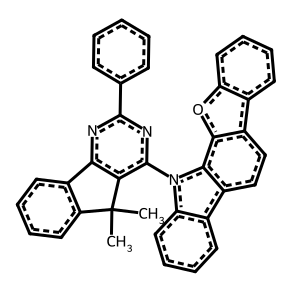 CC1(C)c2ccccc2-c2nc(-c3ccccc3)nc(-n3c4ccccc4c4ccc5c6ccccc6oc5c43)c21